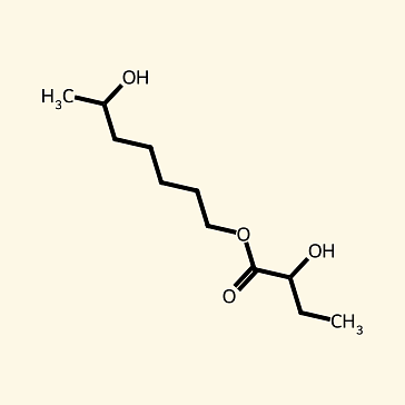 CCC(O)C(=O)OCCCCCC(C)O